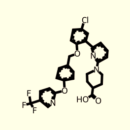 O=C(O)C1CCN(c2cccc(-c3cc(Cl)ccc3OCc3ccc(Oc4ccc(C(F)(F)F)cn4)cc3)n2)CC1